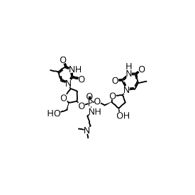 Cc1cn([C@H]2C[C@@H](O)[C@@H](CO[P@@](=O)(NCCN(C)C)O[C@@H]3C[C@H](n4cc(C)c(=O)[nH]c4=O)O[C@@H]3CO)O2)c(=O)[nH]c1=O